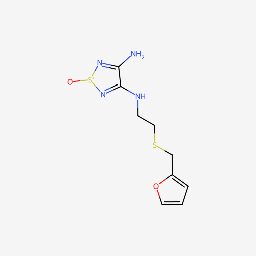 Nc1n[s+]([O-])nc1NCCSCc1ccco1